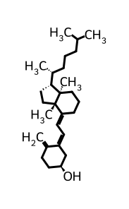 C=C1CC[C@H](O)C/C1=C/C=C1\CCC[C@]2(C)[C@@H]([C@H](C)CCCC(C)C)CC[C@@]12C